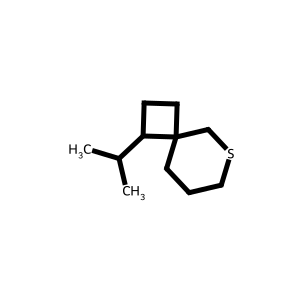 CC(C)C1CCC12CCCSC2